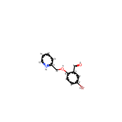 O=Cc1cc(Br)ccc1OCc1ccccn1